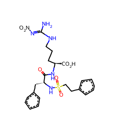 NC(=N[N+](=O)[O-])NCCC[C@H](NC(=O)[C@@H](Cc1ccccc1)NS(=O)(=O)CCc1ccccc1)C(=O)O